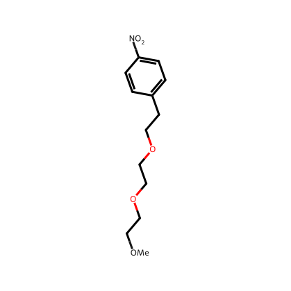 COCCOCCOCCc1ccc([N+](=O)[O-])cc1